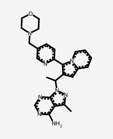 Cc1nn(C(C)c2cc3ccccn3c2-c2ccc(CN3CCOCC3)cn2)c2ncnc(N)c12